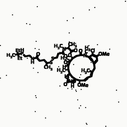 CCC(C)(CC)PCCNC(=O)CCC(C)SSCCC(=O)N(C)[C@@H](C)C(=O)O[C@H]1CC(=O)N(C)c2cc(cc(OC)c2Cl)C/C(C)=C/C=C/[C@@H](OC)[C@@]2(O)C[C@H](OC(=O)N2)[C@@H](C)[C@@H]2O[C@@]12C